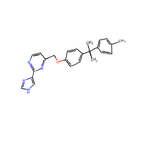 Cc1ccc(C(C)(C)c2ccc(OCc3ccnc(-c4c[nH]cn4)n3)cc2)cc1